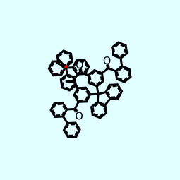 C=C(c1cc(C(=O)c2ccccc2-c2ccccc2)cc(C2(c3cc(C(=O)c4ccccc4-c4ccccc4)cc(C(=O)c4ccccc4-c4ccccc4)c3)c3ccccc3-c3ccccc32)c1)c1ccccc1-c1ccccc1